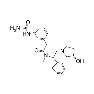 CN(C(=O)Cc1cccc(NC(N)=O)c1)C(CN1CC[C@@H](O)C1)c1ccccc1